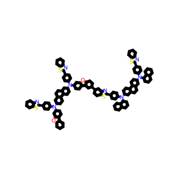 c1ccc2c(N(c3ccc(-c4nc5ccccc5s4)cc3)c3ccc4c(ccc5cc(N(c6ccc(-c7nc8cc(-c9ccc%10oc%11cc(N(c%12ccc(-c%13nc%14ccccc%14s%13)cc%12)c%12ccc%13c(ccc%14cc(N(c%15ccc(-c%16nc%17ccccc%17s%16)cc%15)c%15ccc%16c(c%15)oc%15ccccc%15%16)ccc%14%13)c%12)ccc%11c%10c9)ccc8s7)cc6)c6cccc7ccccc67)ccc54)c3)cccc2c1